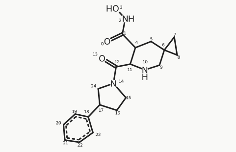 O=C(NO)C1CC2(CC2)CNC1C(=O)N1CCC(c2ccccc2)C1